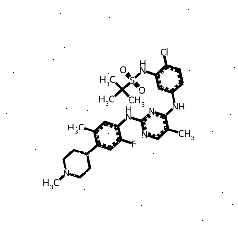 Cc1cc(Nc2ncc(C)c(Nc3ccc(Cl)c(NS(=O)(=O)C(C)(C)C)c3)n2)c(F)cc1C1CCN(C)CC1